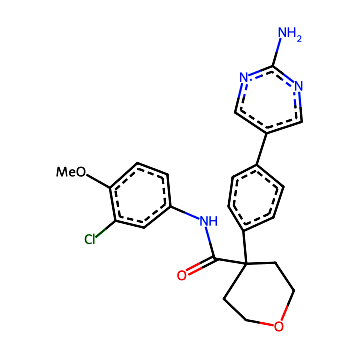 COc1ccc(NC(=O)C2(c3ccc(-c4cnc(N)nc4)cc3)CCOCC2)cc1Cl